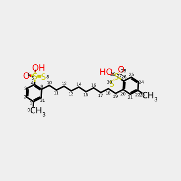 Cc1ccc(S(=O)(O)=S)c(CCCCCCCCCCc2cc(C)ccc2S(=O)(O)=S)c1